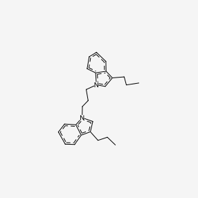 CCCc1cn(CCCn2cc(CCC)c3ccccc32)c2ccccc12